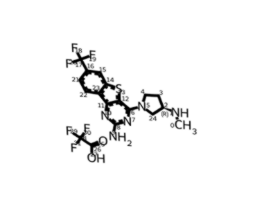 CN[C@@H]1CCN(c2nc(N)nc3c2sc2cc(C(F)(F)F)ccc23)C1.O=C(O)C(F)(F)F